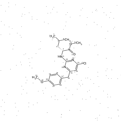 COC(=O)[C@@H](CC(C)C)Nc1nc(Cl)cc(Cc2ccc(OC)cc2)n1